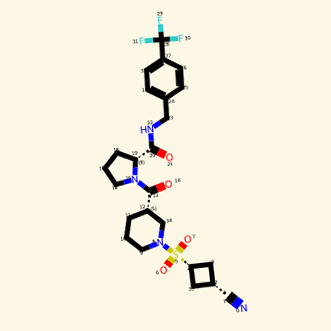 N#C[C@H]1C[C@@H](S(=O)(=O)N2CCC[C@H](C(=O)N3CCC[C@@H]3C(=O)NCc3ccc(C(F)(F)F)cc3)C2)C1